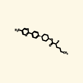 CCCC[C@H](F)C(=O)O[C@H]1CC[C@H](c2ccc(-c3ncc(C)cn3)cc2)CC1